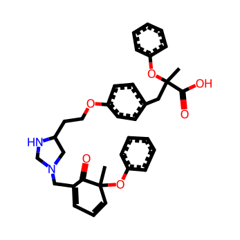 CC1(Oc2ccccc2)C=CC=C(CN2CNC(CCOc3ccc(CC(C)(Oc4ccccc4)C(=O)O)cc3)C2)C1=O